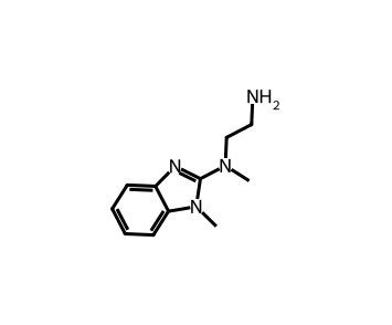 CN(CCN)c1nc2ccccc2n1C